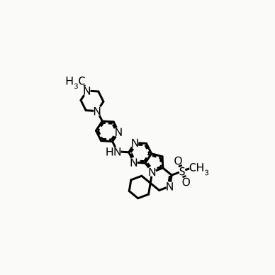 CN1CCN(c2ccc(Nc3ncc4cc5n(c4n3)C3(CCCCC3)CN=C5S(C)(=O)=O)nc2)CC1